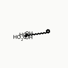 O=C(O)C(O)(O)C(O)CCCCCCCCCCCCCc1ccccc1